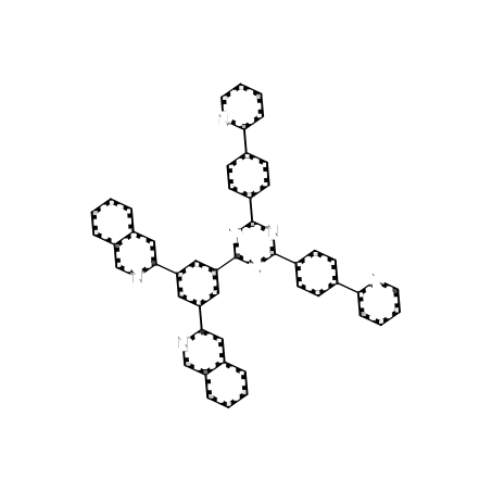 c1ccc(-c2ccc(-c3nc(-c4ccc(-c5ccccn5)cc4)nc(-c4cc(-c5cc6ccccc6cn5)cc(-c5cc6ccccc6cn5)c4)n3)cc2)nc1